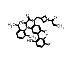 C=CC(=O)N1CC(Cn2c(=O)c(=O)n(-c3c(C)cccc3C(C)C)c3cc(-c4c(O)ccc(F)c4F)c(Cl)cc32)C1